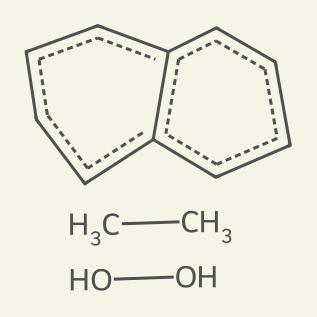 CC.OO.c1ccc2ccccc2c1